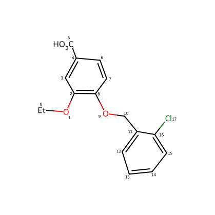 CCOc1cc(C(=O)O)ccc1OCc1ccccc1Cl